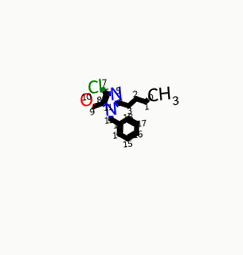 CCCCc1nc(Cl)c(C=O)n1Cc1ccccc1